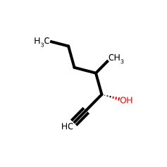 C#C[C@@H](O)C(C)CCC